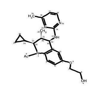 CC(=O)N1c2ccc(OCCO)cc2[C@H](Nc2nccc(C)n2)[C@@H](C)[C@@H]1C1CC1